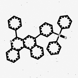 O=P(c1ccccc1)(c1ccccc1)c1cccc(-c2cc3c(-c4ccccc4)nc4ccccc4c3c3ccccc23)c1